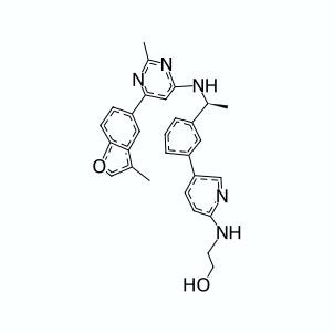 Cc1nc(N[C@@H](C)c2cccc(-c3ccc(NCCO)nc3)c2)cc(-c2ccc3occ(C)c3c2)n1